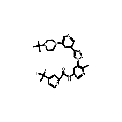 Cc1ncc(NC(=O)c2cc(C(F)(F)F)ccn2)cc1-n1cc(-c2cncc(N3CCN(C(C)(C)C)CC3)c2)nn1